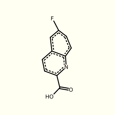 O=C(O)c1ccc2cc(F)ccc2n1